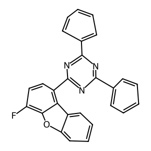 Fc1ccc(-c2nc(-c3ccccc3)nc(-c3ccccc3)n2)c2c1oc1ccccc12